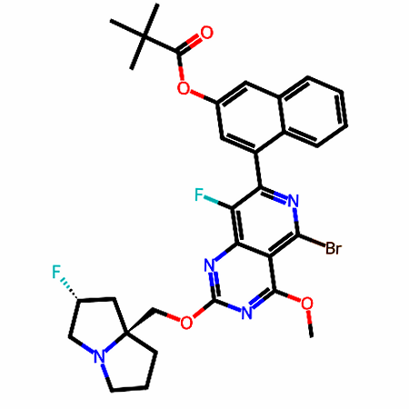 COc1nc(OC[C@@]23CCCN2C[C@H](F)C3)nc2c(F)c(-c3cc(OC(=O)C(C)(C)C)cc4ccccc34)nc(Br)c12